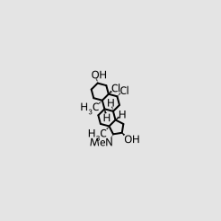 CN[C@H]1[C@H](O)C[C@H]2[C@@H]3C[C@@H](Cl)[C@@]4(Cl)C[C@@H](O)CC[C@]4(C)[C@H]3CC[C@@]21C